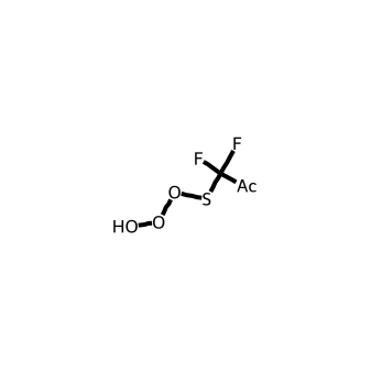 CC(=O)C(F)(F)SOOO